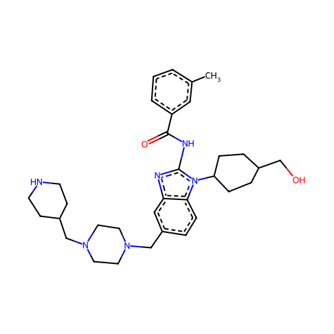 Cc1cccc(C(=O)Nc2nc3cc(CN4CCN(CC5CCNCC5)CC4)ccc3n2C2CCC(CO)CC2)c1